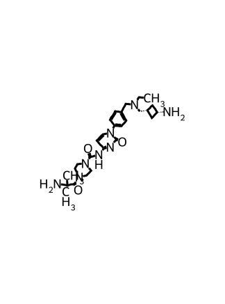 CCN(Cc1ccc(-n2ccc(NC(=O)N3CCN(C(=O)C(C)(C)N)CC3)nc2=O)cc1)C[C@H]1C[C@@H](N)C1